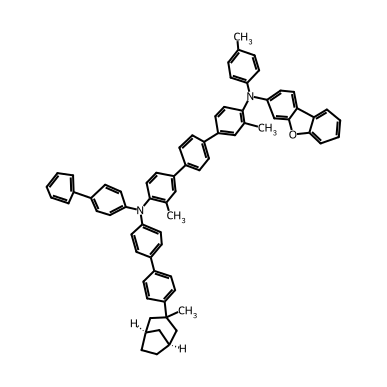 Cc1ccc(N(c2ccc3c(c2)oc2ccccc23)c2ccc(-c3ccc(-c4ccc(N(c5ccc(-c6ccccc6)cc5)c5ccc(-c6ccc(C7(C)C[C@@H]8CC[C@@H](C8)C7)cc6)cc5)c(C)c4)cc3)cc2C)cc1